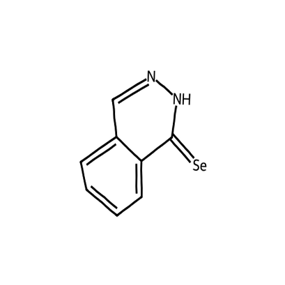 [Se]=c1[nH]ncc2ccccc12